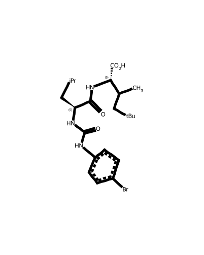 CC(C)C[C@H](NC(=O)Nc1ccc(Br)cc1)C(=O)N[C@H](C(=O)O)C(C)CC(C)(C)C